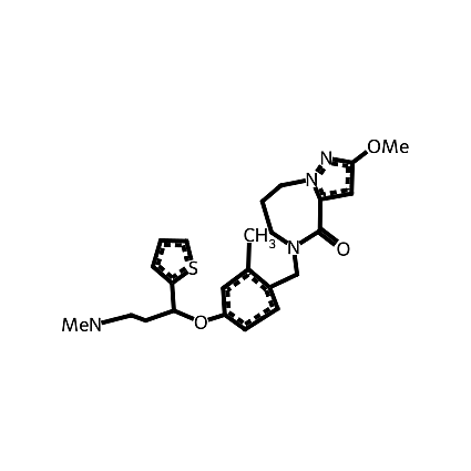 CNCCC(Oc1ccc(CN2CCCn3nc(OC)cc3C2=O)c(C)c1)c1cccs1